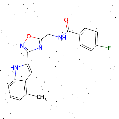 Cc1cccc2[nH]c(-c3noc(CNC(=O)c4ccc(F)cc4)n3)cc12